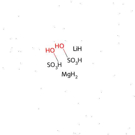 O=S(=O)(O)O.O=S(=O)(O)O.[LiH].[MgH2]